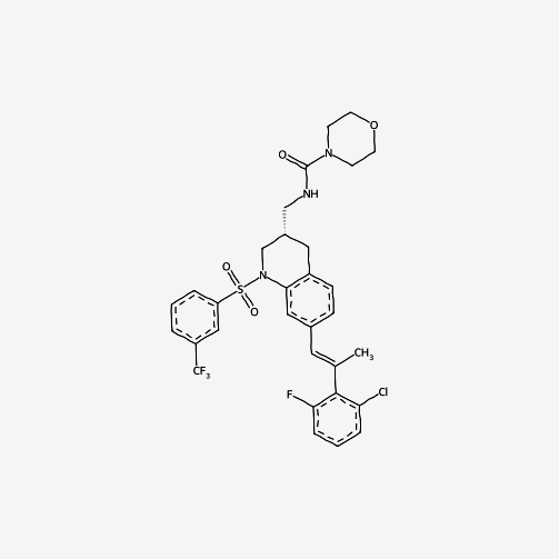 C/C(=C\c1ccc2c(c1)N(S(=O)(=O)c1cccc(C(F)(F)F)c1)C[C@H](CNC(=O)N1CCOCC1)C2)c1c(F)cccc1Cl